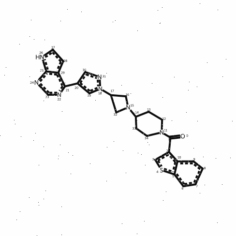 O=C(c1csc2ccccc12)N1CCC(N2CC(n3cc(-c4ncnc5[nH]ccc45)cn3)C2)CC1